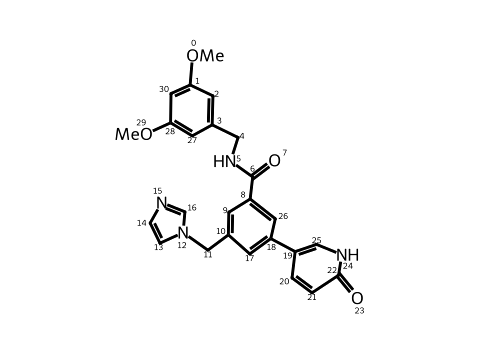 COc1cc(CNC(=O)c2cc(Cn3ccnc3)cc(-c3ccc(=O)[nH]c3)c2)cc(OC)c1